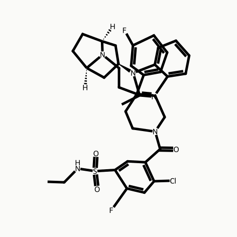 CCNS(=O)(=O)c1cc(C(=O)N2CCC(CCN3[C@@H]4CC[C@H]3C[C@@H](n3c(C)nc5ccccc53)C4)(c3cccc(F)c3)CC2)c(Cl)cc1F